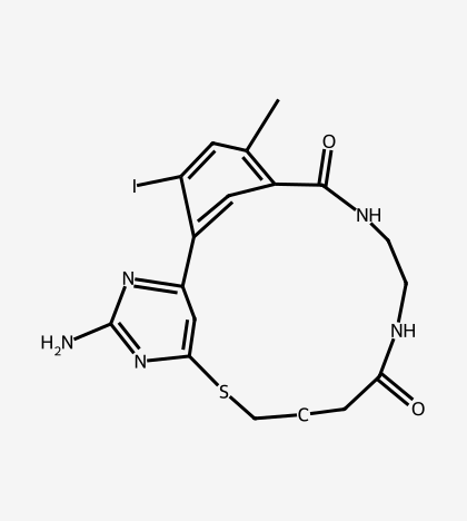 Cc1cc(I)c2cc1C(=O)NCCNC(=O)CCCSc1cc-2nc(N)n1